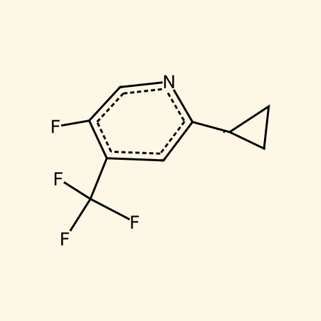 Fc1cnc([C]2CC2)cc1C(F)(F)F